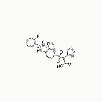 Cc1nc(S(=O)(=O)N(C(=O)O)c2cscn2)ccc1N[C@@H](C)c1ccccc1F